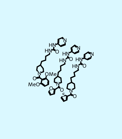 COc1cccc(OC)c1C(=O)N1CCC(CCCCNC(=O)Nc2ccncc2)CC1.O=C(NCCCCC1CCN(C(=O)c2ccco2)CC1)Nc1ccncc1.O=C(NCCCCC1CCN(C(=O)c2cccs2)CC1)Nc1ccncc1